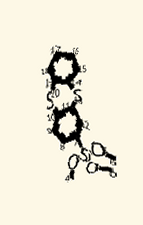 CO[Si](OC)(OC)c1ccc2c(c1)Sc1ccccc1S2